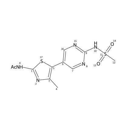 CC(=O)Nc1nc(C)c(-c2cnc(NS(C)(=O)=O)nc2)s1